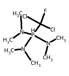 CN(C)[PH](N(C)C)(N(C)C)C(F)(Cl)Cl